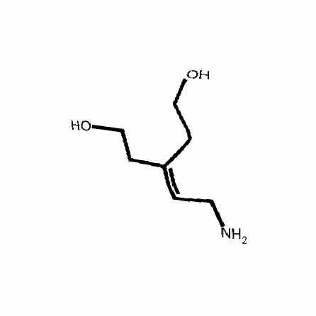 NCC=C(CCO)CCO